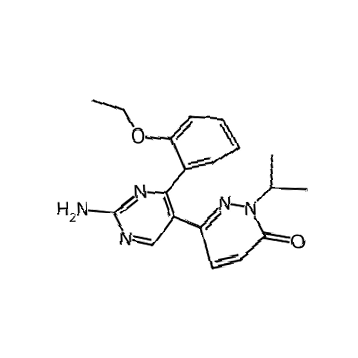 CCOc1ccccc1-c1nc(N)ncc1-c1ccc(=O)n(C(C)C)n1